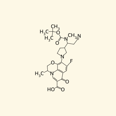 CC1COc2c(N3CCC(C(CC#N)N(C)C(=O)OC(C)(C)C)C3)c(F)cc3c(=O)c(C(=O)O)cn1c23